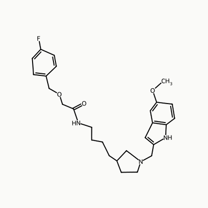 COc1ccc2[nH]c(CN3CCC(CCCCNC(=O)COCc4ccc(F)cc4)C3)cc2c1